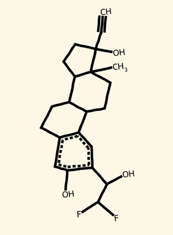 C#CC1(O)CCC2C3CCc4cc(O)c(C(O)C(F)F)cc4C3CCC21C